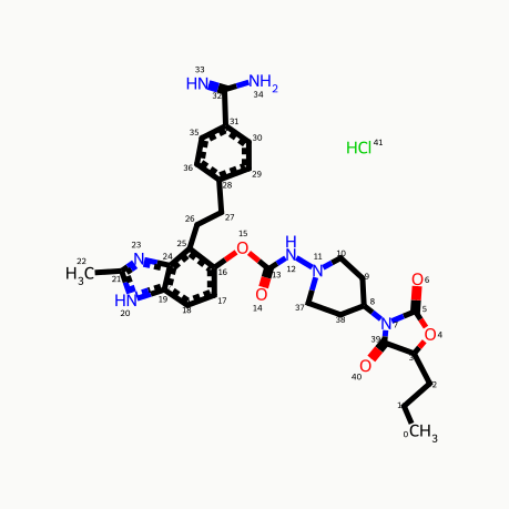 CCCC1OC(=O)N(C2CCN(NC(=O)Oc3ccc4[nH]c(C)nc4c3CCc3ccc(C(=N)N)cc3)CC2)C1=O.Cl